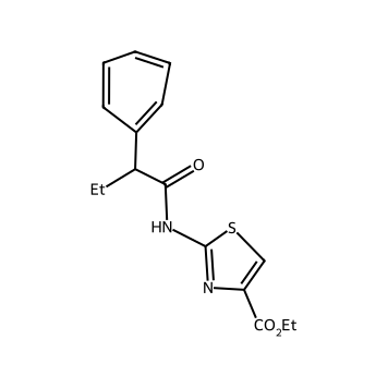 CCOC(=O)c1csc(NC(=O)C(CC)c2ccccc2)n1